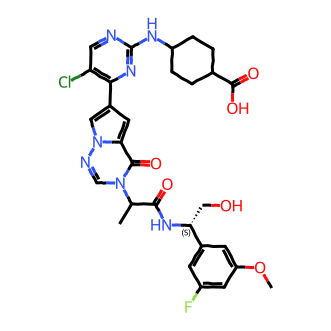 COc1cc(F)cc([C@@H](CO)NC(=O)C(C)n2cnn3cc(-c4nc(NC5CCC(C(=O)O)CC5)ncc4Cl)cc3c2=O)c1